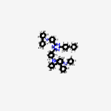 c1ccc(-c2ccc(-c3nc(-c4cccc(-n5c6ccccc6c6ccccc65)c4)nc(-c4cccc(-n5c6ccccc6c6c7c8ccccc8n(-c8ccccc8)c7ccc65)c4)n3)cc2)cc1